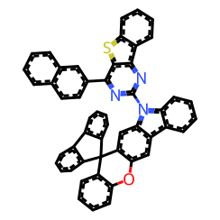 c1ccc2c(c1)Oc1cc3c4ccccc4n(-c4nc(-c5ccc6ccccc6c5)c5sc6ccccc6c5n4)c3cc1C21c2ccccc2-c2ccccc21